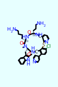 Cc1[nH]c2ccccc2c1C[C@H]1C(=O)NCc2c(-c3ccncc3)ccc(Cl)c2Sc2ncccc2CN[C@@H](CCCN)C(=O)N[C@@H](CCCCN)C(=O)N1C